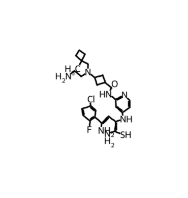 CC1(CN(CCN)C2CC(C(=O)Nc3cc(NC(/C=C(\N)c4cc(Cl)ccc4F)=C(/N)S)ccn3)C2)CCC1